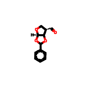 O=C[C@H]1CO[C@@H]2OC(c3ccccc3)OC21